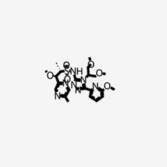 COCC(COC)n1c(NS(=O)(=O)[C@@H](C)[C@H](OC)c2cnc(C)cn2)nnc1-c1cccc(OC)n1